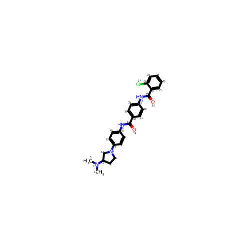 CN(C)C1CCN(c2ccc(NC(=O)c3ccc(NC(=O)c4ccccc4Cl)cc3)cc2)C1